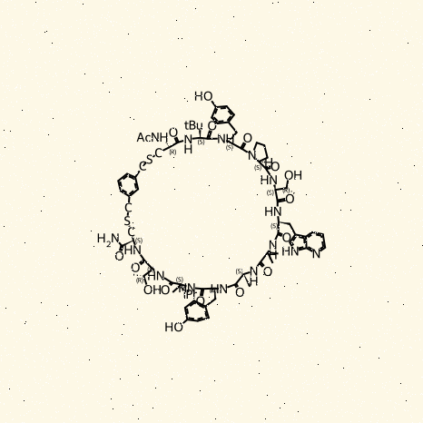 CC(=O)N[C@H]1CSCc2cccc(c2)CSC[C@H](C(N)=O)NC(=O)[C@H]([C@@H](C)O)NC(=O)[C@](C)(C(C)C)NC(=O)[C@H](Cc2ccc(O)cc2)NC(=O)[C@H](C)NC(=O)C(C)(C)NC(=O)[C@H](Cc2c[nH]c3ncccc23)NC(=O)[C@H]([C@@H](C)O)NC(=O)[C@@H]2CCCN2C(=O)[C@H](Cc2ccc(O)cc2)NC(=O)[C@H](C(C)(C)C)NC1=O